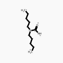 CCCCCN(CCCCC)C([NH])=O